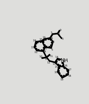 CC(C)Cc1ccc2c(C(C)(C)Cc3c[nH]c4ccccc34)cccc2c1